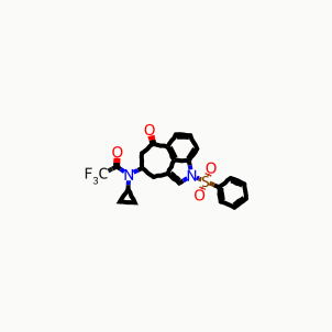 O=C1CC(N(C(=O)C(F)(F)F)C2CC2)Cc2cn(S(=O)(=O)c3ccccc3)c3cccc1c23